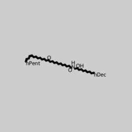 CCCCC/C=C\C/C=C\CCCCCCCC(=O)CCCCCCCCCCC(=O)NC[C@H](O)CCCCCCCCCCCCCCCCCC